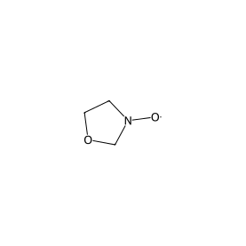 [O]N1CCOC1